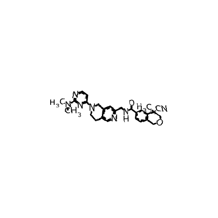 CN(C)c1nccc(N2CCc3cnc(CNC(=O)c4ccc5c(c4)[C@](C)(C#N)COC5)cc3C2)n1